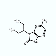 CCC(CC)n1c(=O)[nH]c2ncc(C)nc21